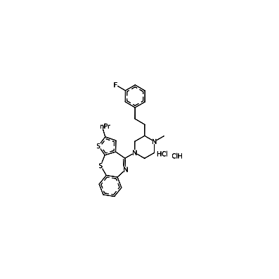 CCCc1cc2c(s1)Sc1ccccc1N=C2N1CCN(C)C(CCc2cccc(F)c2)C1.Cl.Cl